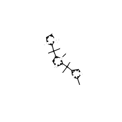 Cc1ncc(C(C)(C)c2ncc(C(C)(C)c3ncc[nH]3)n2C)o1